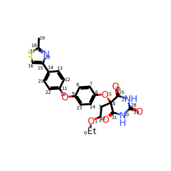 CCOCCC1(Oc2ccc(Oc3ccc(-c4csc(C)n4)cc3)cc2)C(=O)NC(=O)NC1=O